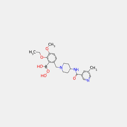 CCOc1c(OC)ccc(CN2CCC(NC(=O)c3cncc(C)c3)CC2)c1B(O)OO